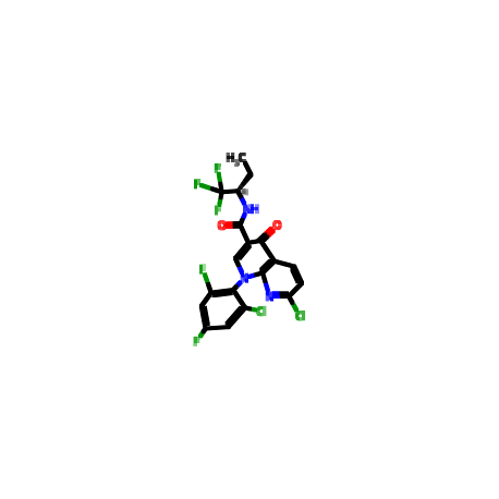 CC[C@@H](NC(=O)c1cn(-c2c(F)cc(F)cc2Cl)c2nc(Cl)ccc2c1=O)C(F)(F)F